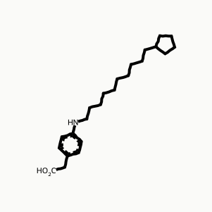 O=C(O)Cc1ccc(NCCCCCCCCCCC2CCCC2)cc1